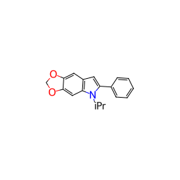 CC(C)n1c(-c2ccccc2)cc2cc3c(cc21)OCO3